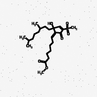 COC(=O)CCCCC/C=C1\C(=O)C(S(C)(=O)=O)=CC1(O)CCC(C)CCCC(C)C